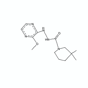 COc1nccnc1NNC(=O)N1CCCC(C)(C)C1